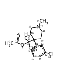 CC(=O)OC(C)(C)C1(c2cccc(Cl)c2)CCN(C)CC1